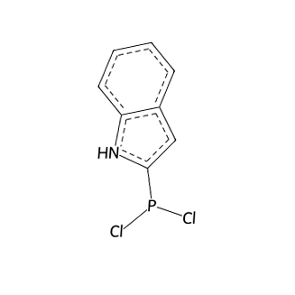 ClP(Cl)c1cc2ccccc2[nH]1